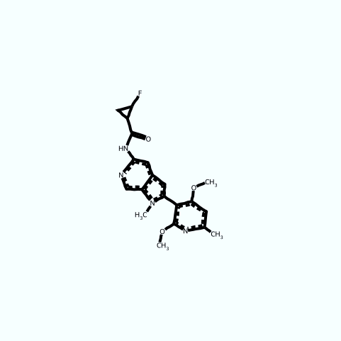 COc1cc(C)nc(OC)c1-c1cc2cc(NC(=O)C3CC3F)ncc2n1C